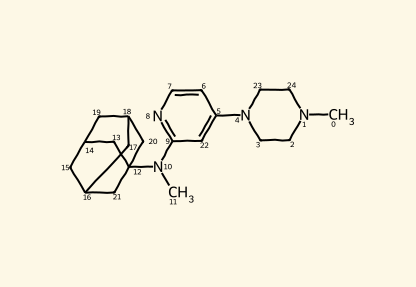 CN1CCN(c2ccnc(N(C)C34CC5CC(CC(C5)C3)C4)c2)CC1